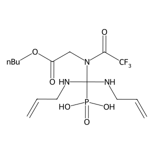 C=CCNC(NCC=C)(N(CC(=O)OCCCC)C(=O)C(F)(F)F)P(=O)(O)O